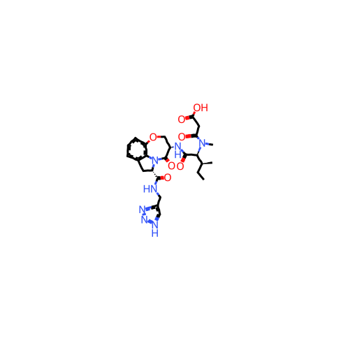 CC[C@H](C)[C@@H](C(=O)N[C@H]1COc2cccc3c2N(C1=O)[C@H](C(=O)NCc1c[nH]nn1)C3)N(C)C(=O)CC(=O)O